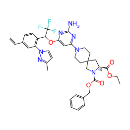 C=Cc1ccc(C(Oc2cc(N3CCC4(CC3)C[C@@H](C(=O)OCC)N(C(=O)OCc3ccccc3)C4)nc(N)n2)C(F)(F)F)c(-n2ccc(C)n2)c1